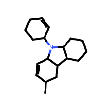 CC1C=CC2C(C1)C1CCCCC1N2C1C=CCCC1